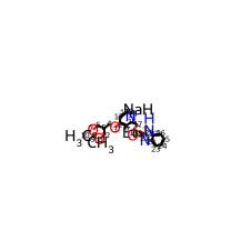 CCc1c(OCC2COC(C)(C)OC2)ccnc1C[S+]([O-])c1nc2ccccc2[nH]1.[NaH]